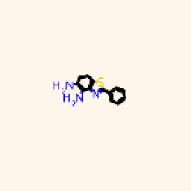 Nc1ccc2sc(-c3ccccc3)nc2c1N